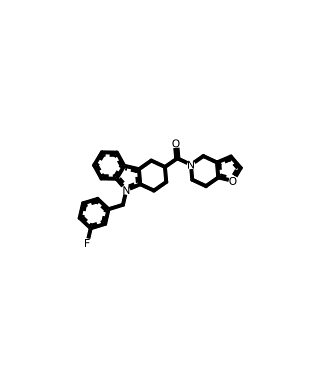 O=C(C1CCc2c(c3ccccc3n2Cc2cccc(F)c2)C1)N1CCc2occc2C1